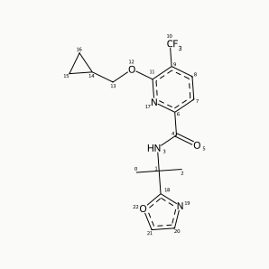 CC(C)(NC(=O)c1ccc(C(F)(F)F)c(OCC2CC2)n1)c1ncco1